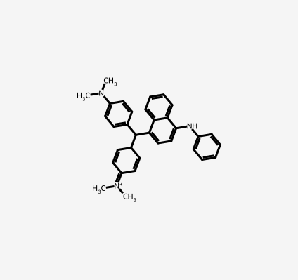 CN(C)c1ccc(C(c2ccc(Nc3ccccc3)c3ccccc23)C2C=CC(=[N+](C)C)C=C2)cc1